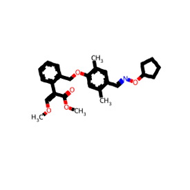 CO/C=C(\C(=O)OC)c1ccccc1COc1cc(C)c(/C=N/OC2CCCC2)cc1C